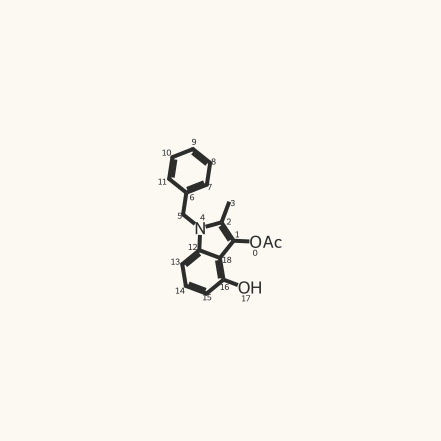 CC(=O)Oc1c(C)n(Cc2ccccc2)c2cccc(O)c12